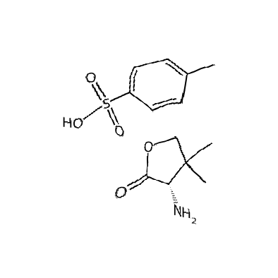 CC1(C)COC(=O)[C@H]1N.Cc1ccc(S(=O)(=O)O)cc1